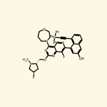 CC(C)[Si](C#Cc1cccc2cc(O)cc(-c3ncc4c(N5CCCOCC5)nc(OC[C@@H]5C[C@@H](F)CN5C)nc4c3F)c12)(C(C)C)C(C)C